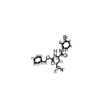 Cc1c(Br)cccc1NC(=O)C(CC[S+](C)C)NC(=O)OCc1ccccc1.[I-]